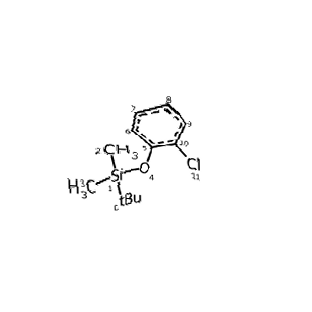 CC(C)(C)[Si](C)(C)Oc1ccccc1Cl